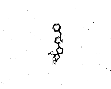 COC(=O)C1(CC#N)CCC(c2ccn(Cc3ccccc3)n2)C1